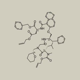 C=CCOC(=O)C[C@H](NC(=O)c1c(OC[C@@H](Cc2ccccc2)NC(=O)CN(C[C@H]2CCCCO2)C(=O)[C@H](CC(C)C)N(C)C(=O)OCC=C)ccc2ccccc12)C(=O)OCc1ccccc1